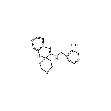 O=C(O)c1ccccc1CNC1=Nc2ccccc2NC12CCSCC2